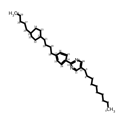 CCCCCCCCCCc1cnc(-c2ccc(CCCCC3CCC(CCCCC)CC3)cc2)nc1